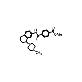 COC(=O)c1ccc(C(=O)Nc2ccc3c(c2)C(N2CCN(C)CC2)CCC3)cc1